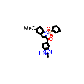 COc1ccc2c(c1)cc(C(=O)c1ccc3[nH]c(C)nc3c1)n2S(=O)(=O)c1ccccc1